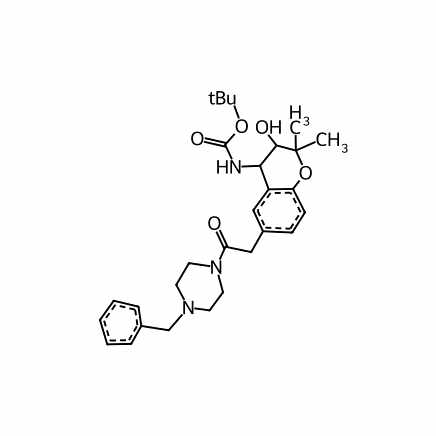 CC(C)(C)OC(=O)NC1c2cc(CC(=O)N3CCN(Cc4ccccc4)CC3)ccc2OC(C)(C)C1O